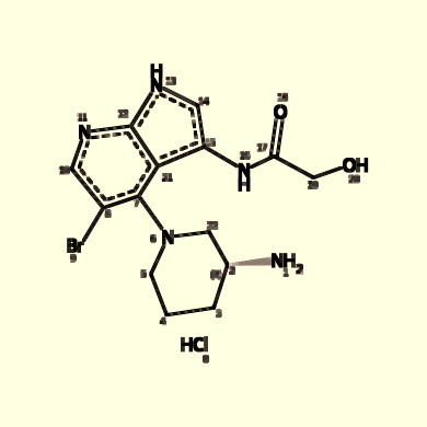 Cl.N[C@@H]1CCCN(c2c(Br)cnc3[nH]cc(NC(=O)CO)c23)C1